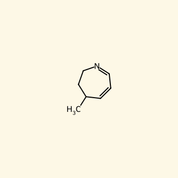 CC1C=CC=NCC1